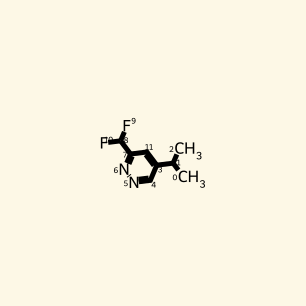 CC(C)c1cnnc(C(F)F)c1